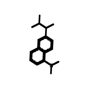 CC(C)C(C)c1ccc2c(N(C)C)cccc2c1